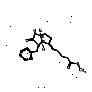 COC(=O)CCCC=C1SC[C@@H]2NC(=O)N(Cc3ccccc3)[C@H]12